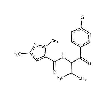 Cc1cc(C(=O)NC(C(=O)c2ccc(Cl)cc2)C(C)C)n(C)n1